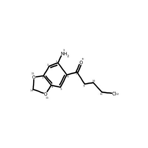 Nc1cc2c(cc1C(=O)CCCCl)OCO2